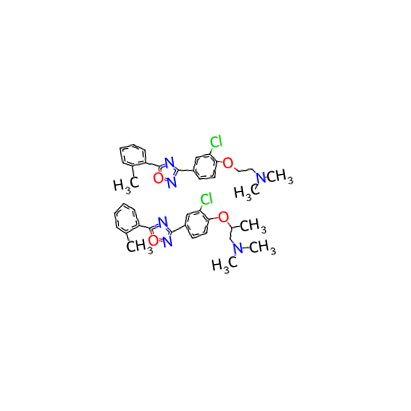 Cc1ccccc1-c1nc(-c2ccc(OC(C)CN(C)C)c(Cl)c2)no1.Cc1ccccc1-c1nc(-c2ccc(OCCN(C)C)c(Cl)c2)no1